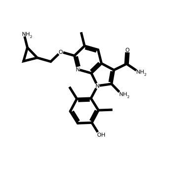 Cc1cc2c(C(N)=O)c(N)n(-c3c(C)ccc(O)c3C)c2nc1OCC1CC1N